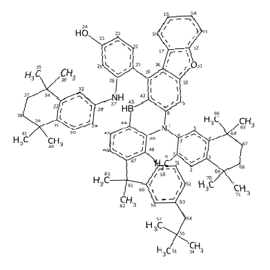 Cc1cc2c(cc1N1c3cc4oc5ccccc5c4c(-c4ccc(O)cc4Nc4ccc5c(c4)C(C)(C)CCC5(C)C)c3Bc3ccc4c(c31)-c1ccc(CC(C)(C)C)cc1C4(C)C)C(C)(C)CCC2(C)C